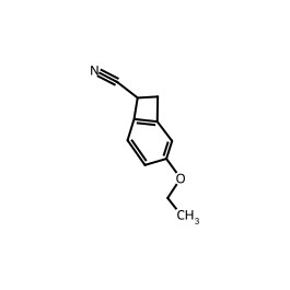 CCOc1ccc2c(c1)CC2C#N